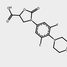 O=C(O)C1CN(c2cc(F)c(N3CCOCC3)c(F)c2)C(=O)O1